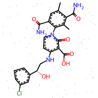 Cc1cc(C(N)=O)c(-n2ccc(NC[C@H](O)c3cccc(Cl)c3)c(C(=O)O)c2=O)c(C)c1C(N)=O